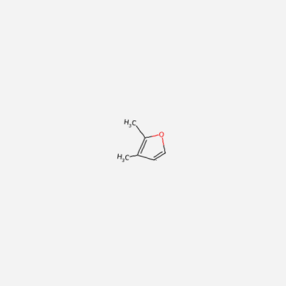 Cc1[c]coc1C